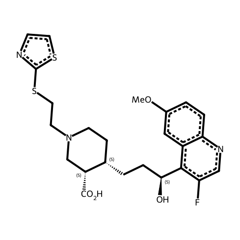 COc1ccc2ncc(F)c([C@@H](O)CC[C@H]3CCN(CCSc4nccs4)C[C@H]3C(=O)O)c2c1